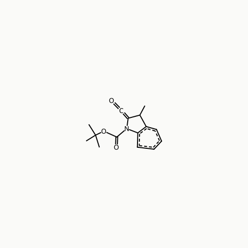 CC1C(=C=O)N(C(=O)OC(C)(C)C)c2ccccc21